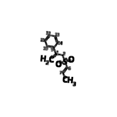 C=C(CS(=O)(=O)C=CC)c1ccccc1